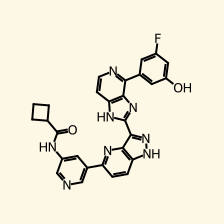 O=C(Nc1cncc(-c2ccc3[nH]nc(-c4nc5c(-c6cc(O)cc(F)c6)nccc5[nH]4)c3n2)c1)C1CCC1